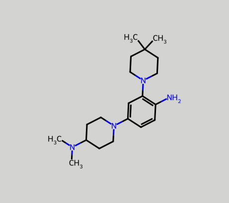 CN(C)C1CCN(c2ccc(N)c(N3CCC(C)(C)CC3)c2)CC1